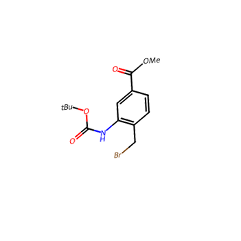 COC(=O)c1ccc(CBr)c(NC(=O)OC(C)(C)C)c1